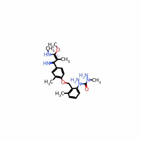 CN/C(OC)=C(/C)C(=N)c1ccc(OCc2c(C)cccc2N(N)C(=O)N(C)N)c(C)c1